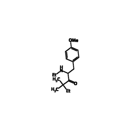 CCNC(Cc1ccc(OC)cc1)C(=O)C(C)(C)CC